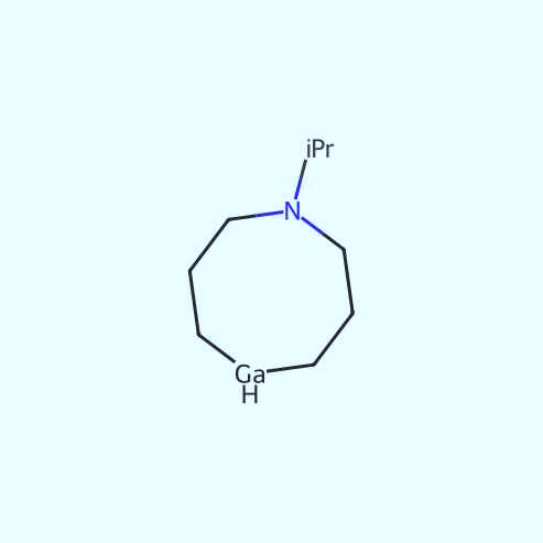 CC(C)N1CC[CH2][GaH][CH2]CC1